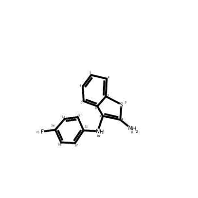 Nc1sc2ccccc2c1Nc1ccc(F)cc1